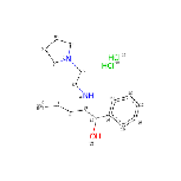 CC(C)CCC(NCCN1CCCC1)C(O)c1ccccc1.Cl.Cl